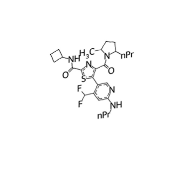 CCCNc1cc(C(F)F)c(-c2sc(C(=O)NC3CCC3)nc2C(=O)N2C(C)CCC2CCC)cn1